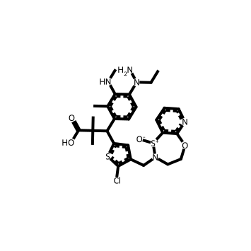 CCN(N)c1ccc(C(c2cc(CN3CCOc4ncccc4[S+]3[O-])c(Cl)s2)C(C)(C)C(=O)O)c(C)c1NC